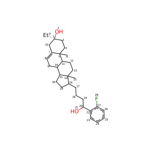 CC[C@]1(O)CCC2(C)C(=CCC3C2CCC2(C)C(CCCC(O)c4ccccc4F)CCC32)C1